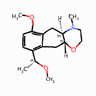 COc1ccc([C@@H](C)OC)c2c1C[C@@H]1[C@@H](C2)OCCN1C